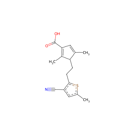 CC1=CC(C(=O)O)=C(C)C1CCc1sc(C)cc1C#N